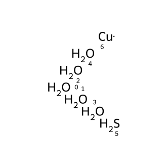 O.O.O.O.O.S.[Cu]